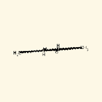 CCCCCCCCC=CCCCCCCCCNC(=O)CCCCCCCCC(=O)NCCCCCCCCC=CCCCCCCCC